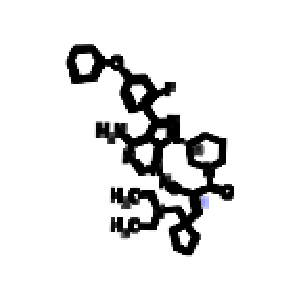 CCN(CC)CC1(/C=C(\C#N)C(=O)N2CCC[C@@H](n3nc(-c4ccc(Oc5ccccc5)cc4F)c4c(N)ncnc43)C2)CCCC1